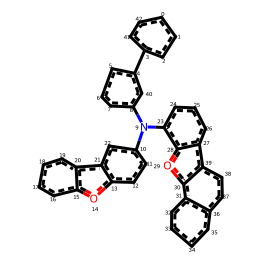 c1ccc(-c2cccc(N(c3ccc4oc5ccccc5c4c3)c3cccc4c3oc3c5ccccc5ccc43)c2)cc1